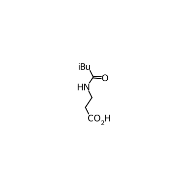 CCC(C)C(=O)NCCC(=O)O